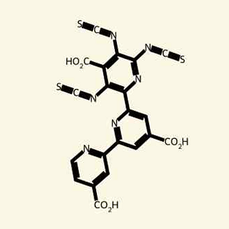 O=C(O)c1ccnc(-c2cc(C(=O)O)cc(-c3nc(N=C=S)c(N=C=S)c(C(=O)O)c3N=C=S)n2)c1